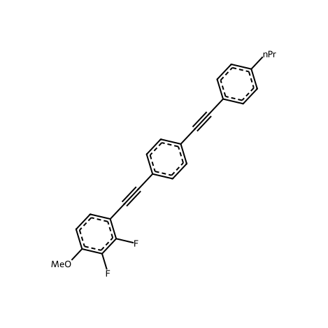 CCCc1ccc(C#Cc2ccc(C#Cc3ccc(OC)c(F)c3F)cc2)cc1